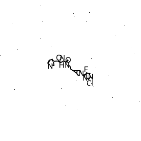 O=C(NCCC1C2CN(c3nc(Cl)ncc3F)CC12)c1cc(-c2cccnc2)on1